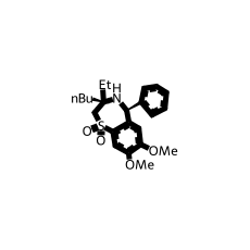 CCCC[C@]1(CC)CS(=O)(=O)c2cc(OC)c(OC)cc2[C@H](c2ccccc2)N1